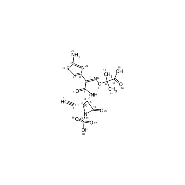 C#C[C@@H]1[C@H](NC(=O)/C(=N\OC(C)(C)C(=O)O)c2csc(N)n2)C(=O)N1S(=O)(=O)O